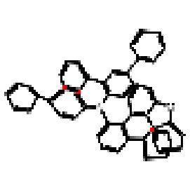 c1ccc(-c2ccc(N(c3ccc(-c4ccccc4)cc3-c3ccccc3)c3cccc(-c4ccccc4)c3-c3cccc4oc5ccccc5c34)cc2)cc1